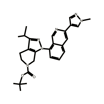 CC(C)c1nn(-c2cccc3cc(-c4cnn(C)c4)ncc23)c2c1CCN(C(=O)OC(C)(C)C)C2